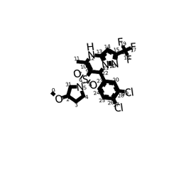 COC1CCN(S(=O)(=O)C2=C(C)Nc3cc(C(F)(F)F)nn3C2c2ccc(Cl)c(Cl)c2)C1